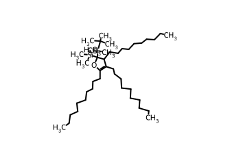 CCCCCCCCCCC1=C(CCCCCCCCCC)C(CCCCCCCCCC)C([Si](C)(C)C)([Si](C)(C)C(C)(C)C)O1